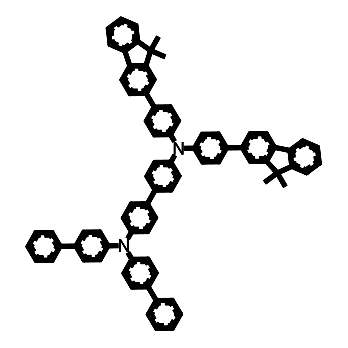 CC1(C)c2ccccc2-c2ccc(-c3ccc(N(c4ccc(-c5ccc(N(c6ccc(-c7ccccc7)cc6)c6ccc(-c7ccccc7)cc6)cc5)cc4)c4ccc(-c5ccc6c(c5)C(C)(C)c5ccccc5-6)cc4)cc3)cc21